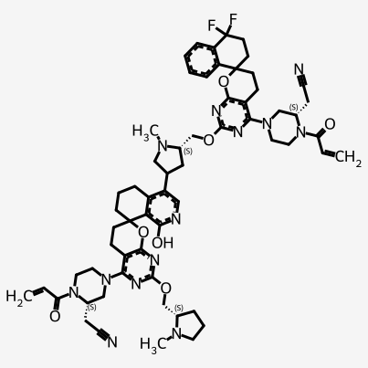 C=CC(=O)N1CCN(c2nc(OC[C@@H]3CC(c4cnc(O)c5c4CCCC54CCc5c(nc(OC[C@@H]6CCCN6C)nc5N5CCN(C(=O)C=C)[C@@H](CC#N)C5)O4)CN3C)nc3c2CCC2(CCC(F)(F)c4ccccc42)O3)C[C@@H]1CC#N